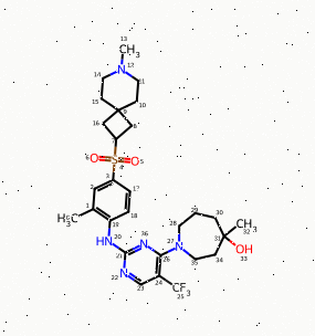 Cc1cc(S(=O)(=O)C2CC3(CCN(C)CC3)C2)ccc1Nc1ncc(C(F)(F)F)c(N2CCCC(C)(O)CC2)n1